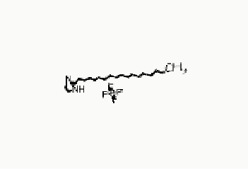 CCCCCCCCCCCCCCCCCC1=NCCN1.F[B-](F)(F)F